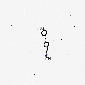 CCCC[C@H]1CC[C@H](CC[C@H]2CC[C@H](CC/C=C/C#N)CC2)CC1